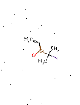 C=C[S+]([O-])C(C)(C)I